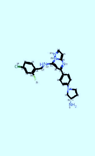 N[C@H]1CCN(c2ccc(-c3cc(NCc4ccc(Cl)cc4F)n4nccc4n3)cc2)C1